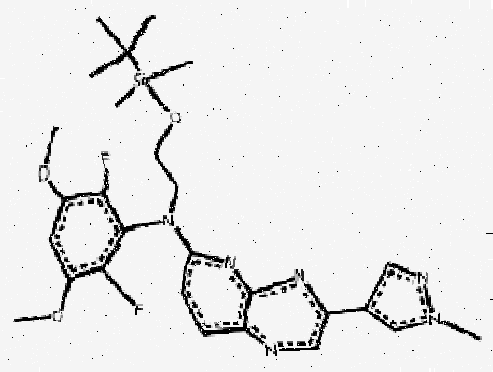 COc1cc(OC)c(F)c(N(CCO[Si](C)(C)C(C)(C)C)c2ccc3ncc(-c4cnn(C)c4)nc3n2)c1F